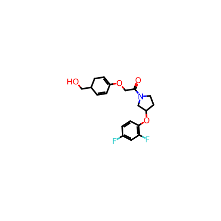 O=C(COC1=CCC(CO)C=C1)N1CCC(Oc2ccc(F)cc2F)C1